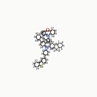 CC1(C)c2ccccc2-c2ccc(N(c3ccc(-c4ccc5sc6ccccc6c5c4)cc3)c3ccc4c(c3)C3(c5ccccc5-4)c4ccccc4N4c5ccccc5Oc5cccc3c54)cc21